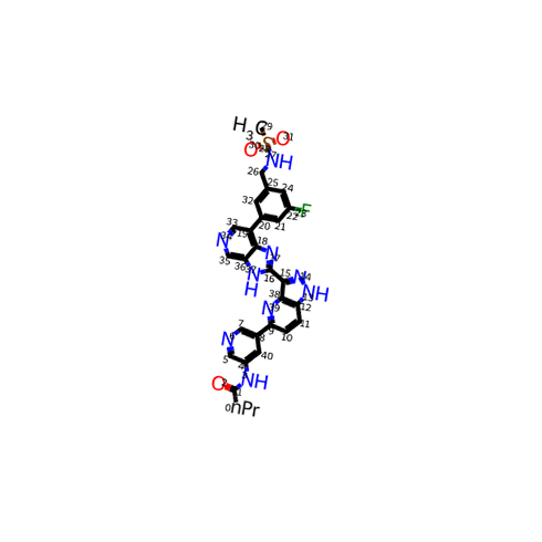 CCCC(=O)Nc1cncc(-c2ccc3[nH]nc(-c4nc5c(-c6cc(F)cc(CNS(C)(=O)=O)c6)cncc5[nH]4)c3n2)c1